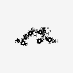 CC1(C)CCC([C@@H]2CC3(C)CC23)=C(CN2CCN(c3ccc(C(=O)NSc4ccc(N[C@H](CCN5CCC(O)CC5)CSc5ccccc5)c(S(=O)(=O)C(F)(F)F)c4)cc3)CC2)C1